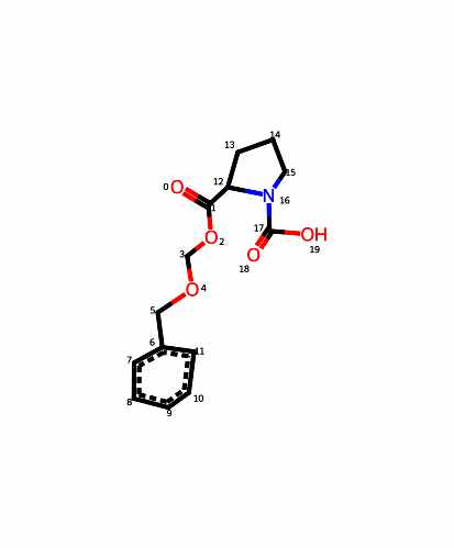 O=C(OCOCc1ccccc1)C1CCCN1C(=O)O